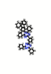 c1ccc(-c2nc(-c3ccccc3)nc(-c3cccc(-c4nc(-c5ccccc5)nc(-c5ccccc5-c5ccc6c(c5)C5(CCCCC5)c5ccccc5-6)n4)c3)n2)cc1